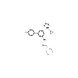 Cc1ccc(-c2cc(C(=O)N[C@H](C)CN3CCOCC3)cc(-n3nnnc3C3CC3)c2)cc1